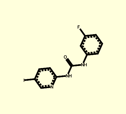 O=C(Nc1cccc(F)c1)Nc1ccc(I)cn1